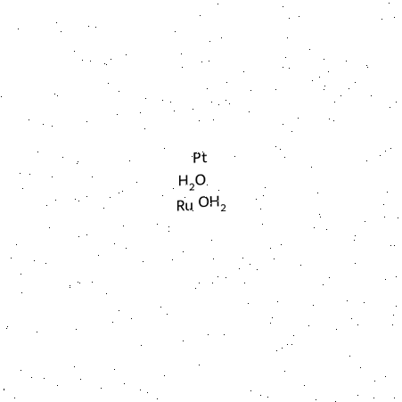 O.O.[Pt].[Ru]